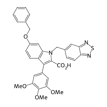 COc1cc(-c2c(C(=O)O)n(Cc3ccc4nsnc4c3)c3cc(OCc4ccccc4)ccc23)cc(OC)c1OC